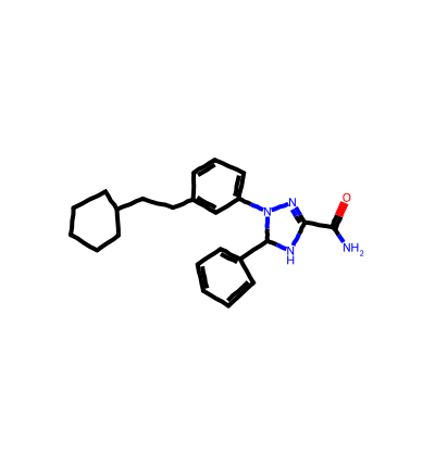 NC(=O)C1=NN(c2cccc(CCC3CCCCC3)c2)C(c2ccccc2)N1